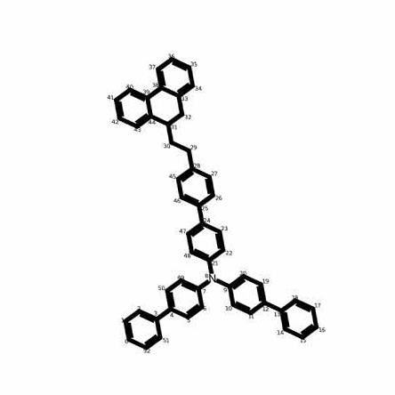 c1ccc(-c2ccc(N(c3ccc(-c4ccccc4)cc3)c3ccc(-c4ccc(CCC5Cc6ccccc6-c6ccccc65)cc4)cc3)cc2)cc1